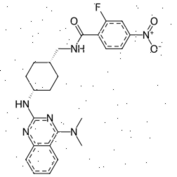 CN(C)c1nc(N[C@H]2CC[C@@H](CNC(=O)c3ccc([N+](=O)[O-])cc3F)CC2)nc2ccccc12